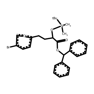 CC(C)(C)[Si](C)(C)OC(CCc1ccc(Br)cc1)C(=O)OC(c1ccccc1)c1ccccc1